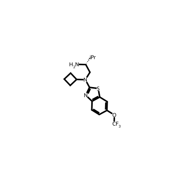 CC(C)[C@@H](N)CN(c1nc2ccc(OC(F)(F)F)cc2s1)C1CCC1